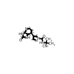 CC(C)(C#N)NC(=O)n1cc(-c2ccnc3[nH]c(=O)[nH]c23)cn1